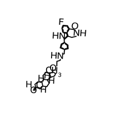 C[C@]12CCC(=O)C[C@@H]1CC[C@@H]1[C@@H]2CC[C@]2(C)[C@@H](OCCCNCc3ccc(-c4[nH]c5cc(F)cc6c5c4CCNC6=O)cc3)CC[C@@H]12